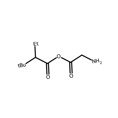 CCC(C(=O)OC(=O)CN)C(C)(C)C